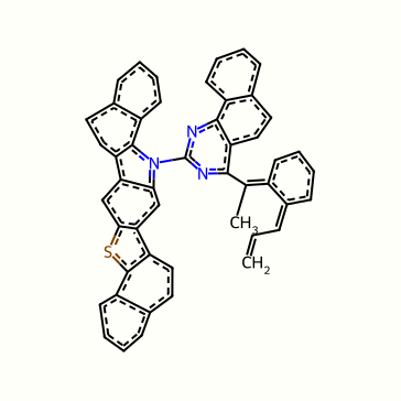 C=C/C=c1/cccc/c1=C(/C)c1nc(-n2c3cc4c(cc3c3ccc5ccccc5c32)sc2c3ccccc3ccc42)nc2c1ccc1ccccc12